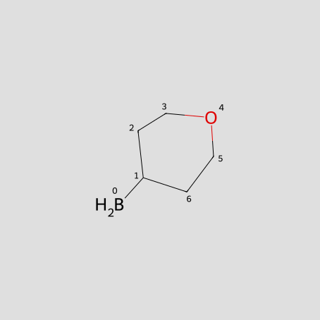 BC1CCOCC1